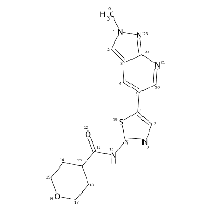 Cn1cc2cc(-c3cnc(NC(=O)C4CCOCC4)s3)cnc2n1